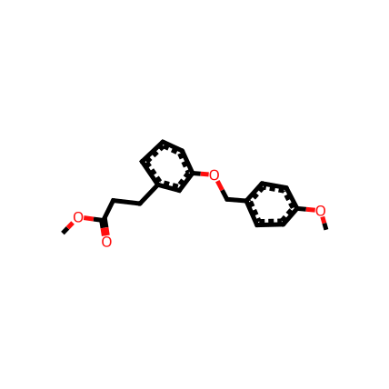 COC(=O)CCc1cccc(OCc2ccc(OC)cc2)c1